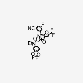 CCN(C(=O)Cn1nc(-c2cc(F)cc(C#N)c2)c2oc(C(F)F)cc2c1=O)c1ccc2c(c1)OC(F)(F)O2